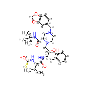 CC(C)[C@H](NC(O)=S)C(=O)N[C@@H](Cc1ccccc1)[C@@H](O)CN1CCN(Cc2ccc3c(c2)OCO3)C[C@H]1C(=O)NC(C)(C)C